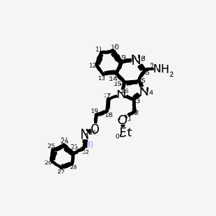 CCOCc1nc2c(N)nc3ccccc3c2n1CCCO/N=C/c1ccccc1